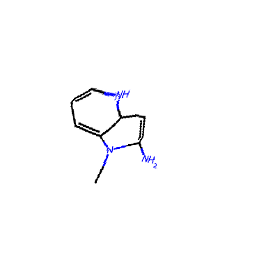 CN1C(N)=CC2NC=CC=C21